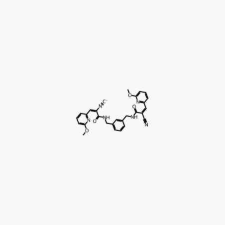 [C-]#[N+]/C(=C/c1cccc(OC)n1)C(=O)NCc1cccc(CNC(=O)/C(C#N)=C\c2cccc(OC)n2)c1